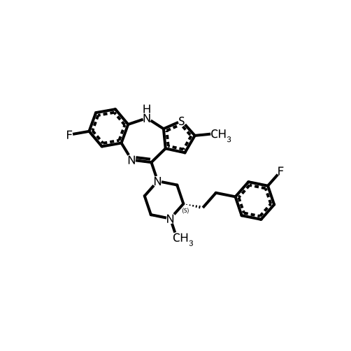 Cc1cc2c(s1)Nc1ccc(F)cc1N=C2N1CCN(C)[C@@H](CCc2cccc(F)c2)C1